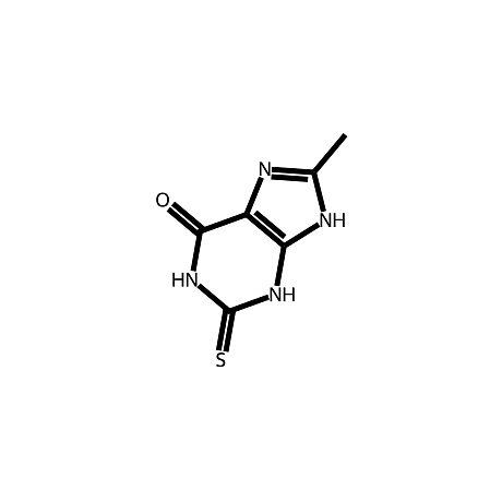 Cc1nc2c(=O)[nH]c(=S)[nH]c2[nH]1